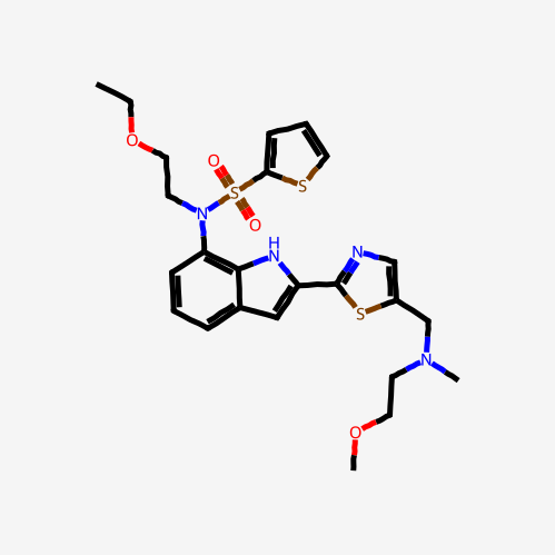 CCOCCN(c1cccc2cc(-c3ncc(CN(C)CCOC)s3)[nH]c12)S(=O)(=O)c1cccs1